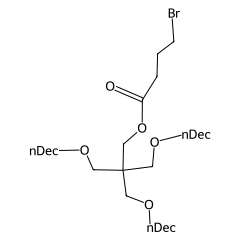 CCCCCCCCCCOCC(COCCCCCCCCCC)(COCCCCCCCCCC)COC(=O)CCCBr